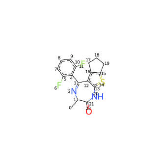 CC1N=C(c2c(F)cccc2F)c2c(sc3c2CCC3)NC1=O